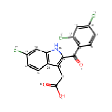 O=C(O)Cc1c(C(=O)c2ccc(Cl)cc2Cl)[nH]c2cc(Cl)ccc12